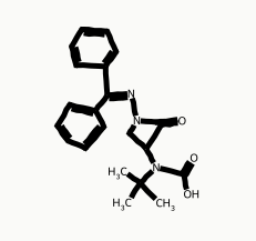 CC(C)(C)N(C(=O)O)C1CN(N=C(c2ccccc2)c2ccccc2)C1=O